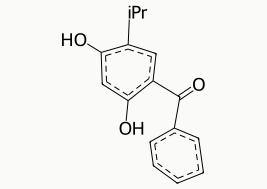 CC(C)c1cc(C(=O)c2ccccc2)c(O)cc1O